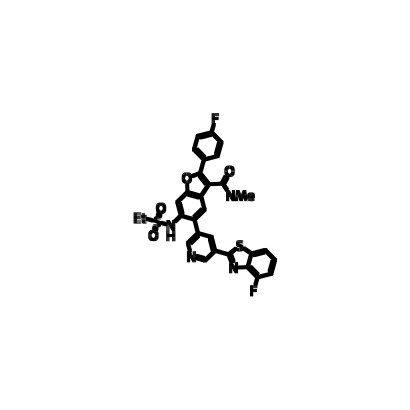 CCS(=O)(=O)Nc1cc2oc(-c3ccc(F)cc3)c(C(=O)NC)c2cc1-c1cncc(-c2nc3c(F)cccc3s2)c1